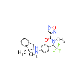 CN(C(=O)c1cnon1)C(c1ccc(NC2Cc3ccccc3C2(C)C)cc1)C(F)(F)F